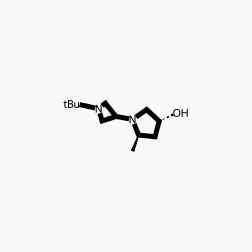 C[C@@H]1C[C@@H](O)CN1C1CN(C(C)(C)C)C1